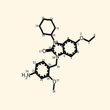 CCOc1ccc2c(c1)n(C1CCCCC1)c(=O)n2Cc1ccc(N)cc1OC